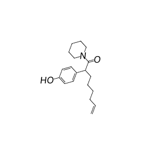 C=CCCCCC(C(=O)N1CCCCC1)c1ccc(O)cc1